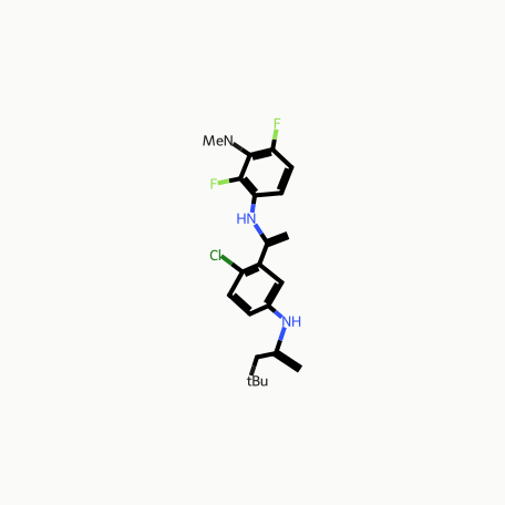 C=C(CC(C)(C)C)Nc1ccc(Cl)c(C(=C)Nc2ccc(F)c(NC)c2F)c1